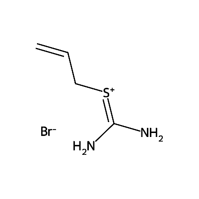 C=CC[S+]=C(N)N.[Br-]